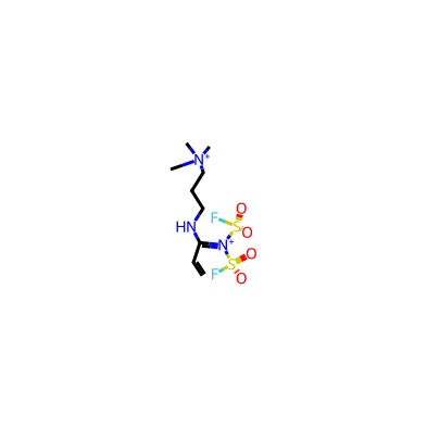 C=CC(NCCC[N+](C)(C)C)=[N+](S(=O)(=O)F)S(=O)(=O)F